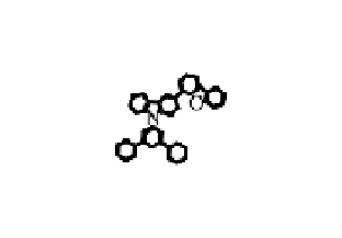 C1=C(N2C3=C(CCCC3)C3CC(C4CCCC5C6CCCCC6OC45)CCC32)CC(C2CCCCC2)CC1C1CCCCC1